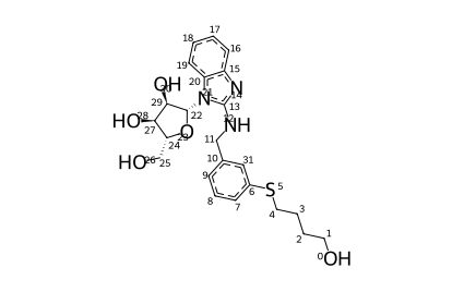 OCCCCSc1cccc(CNc2nc3ccccc3n2[C@@H]2O[C@H](CO)[C@@H](O)[C@H]2O)c1